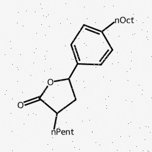 CCCCCCCCc1ccc(C2CC(CCCCC)C(=O)O2)cc1